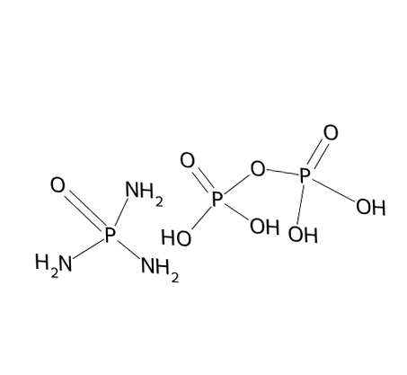 NP(N)(N)=O.O=P(O)(O)OP(=O)(O)O